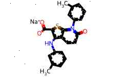 Cc1cccc(Nc2c(C(=O)[O-])sc3c2ccc(=O)n3-c2cccc(C)c2)c1.[Na+]